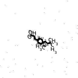 COC1(CCC(C)C)C=CC(C=CC(=O)O)=CC1